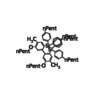 CCCCCOc1cc2c(cc1C)[Si](c1ccc(CCCCC)cc1)(c1ccc(CCCCC)cc1)[Si](c1ccc(CCCCC)cc1)(c1ccc(CCCCC)cc1)c1cc(C)c(OCCCCC)cc1-2